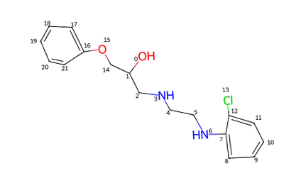 OC(CNCCNc1ccccc1Cl)COc1ccccc1